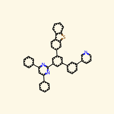 c1ccc(-c2cc(-c3ccccc3)nc(-c3cc(-c4cccc(-c5cccnc5)c4)cc(-c4ccc5c(c4)sc4ccccc45)c3)n2)cc1